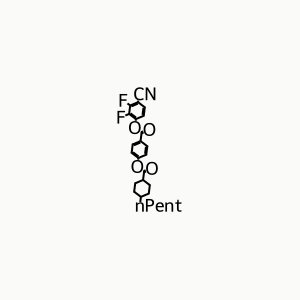 CCCCCC1CCC(C(=O)Oc2ccc(C(=O)Oc3ccc(C#N)c(F)c3F)cc2)CC1